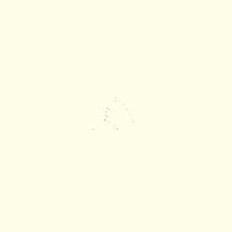 CCCCCCc1[c]ccc(C(C)(C)C)c1